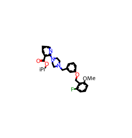 COc1cccc(F)c1COc1cccc(CN2CCN(c3ncccc3C(=O)OC(C)C)CC2)c1